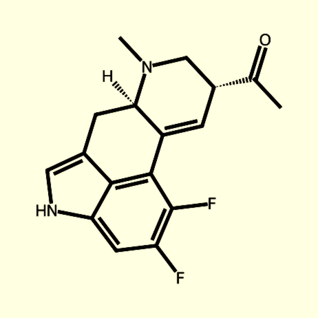 CC(=O)[C@@H]1C=C2c3c(F)c(F)cc4[nH]cc(c34)C[C@H]2N(C)C1